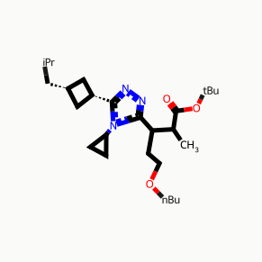 CCCCOCCC(c1nnc([C@H]2C[C@@H](CC(C)C)C2)n1C1CC1)C(C)C(=O)OC(C)(C)C